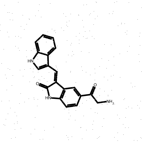 NCC(=O)c1ccc2c(c1)C(=Cc1c[nH]c3ccccc13)C(=O)N2